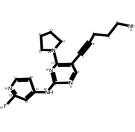 NCCCC#Cc1cnc(Nc2ccnc(F)c2)nc1N1CCCC1